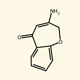 NC1=CC(=O)c2ccccc2OC1